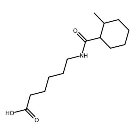 CC1CCCCC1C(=O)NCCCCCC(=O)O